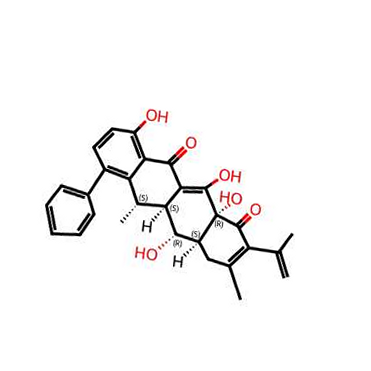 C=C(C)C1=C(C)C[C@H]2[C@H](O)[C@@H]3C(=C(O)[C@@]2(O)C1=O)C(=O)c1c(O)ccc(-c2ccccc2)c1[C@H]3C